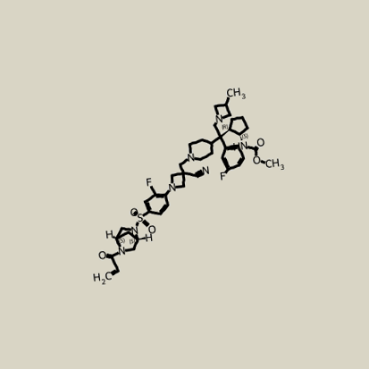 C=CC(=O)N1C[C@@H]2C[C@H]1CN2S(=O)(=O)c1ccc(N2CC(C#N)(CN3CCC(C(CN4CC(C)C4)(c4cccc(F)c4)[C@H]4CCC[C@@H]4NC(=O)OC)CC3)C2)c(F)c1